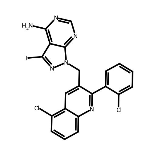 Nc1ncnc2c1c(I)nn2Cc1cc2c(Cl)cccc2nc1-c1ccccc1Cl